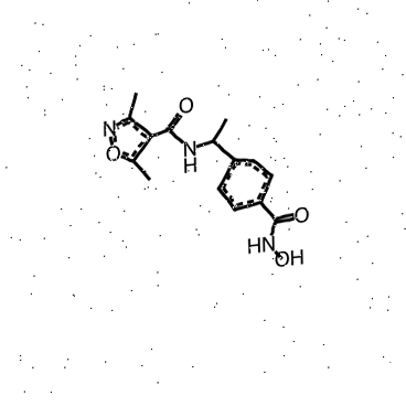 Cc1noc(C)c1C(=O)NC(C)c1ccc(C(=O)NO)cc1